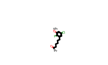 CCCOc1cc(Cl)cc(CCCCCC(=O)C(C)C)c1F